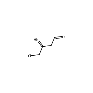 N=C(CCl)CC=O